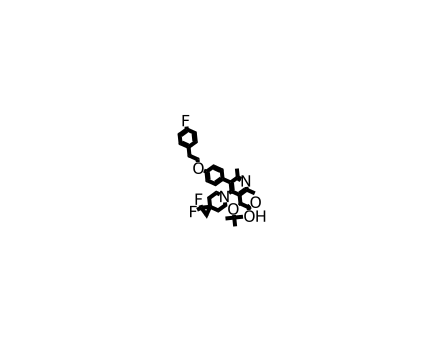 Cc1nc(C)c([C@H](OC(C)(C)C)C(=O)O)c(N2CCC3(CC2)CC3(F)F)c1-c1ccc(OCCc2ccc(F)cc2)cc1